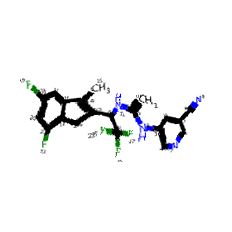 C=C(Nc1cncc(C#N)c1)NC(C1=C(C)c2cc(F)cc(F)c2C1)C(F)(F)F